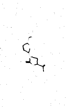 CC(=O)C1CN([C@H]2CC[C@@H](CO)O2)C(=O)N1